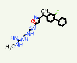 CNC(=N)NCN/C=N/c1cc(C(C)c2ccc(-c3ccccc3)c(F)c2)no1